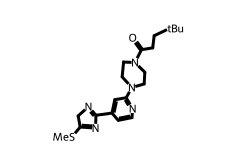 CSC1=NC(c2ccnc(N3CCN(C(=O)CCC(C)(C)C)CC3)c2)=NC1